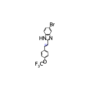 FC(F)(F)Oc1ccc(/C=C/c2nc3cc(Br)ccc3[nH]2)cc1